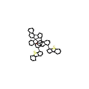 c1ccc2c(c1)-c1ccccc1C21c2ccc3ccccc3c2-c2cccc(-c3c4cccc(-c5cccc6c5sc5ccccc56)c4cc4c(-c5cccc6c5sc5ccccc56)cccc34)c21